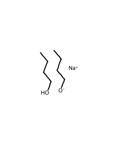 CCCCO.CCCC[O-].[Na+]